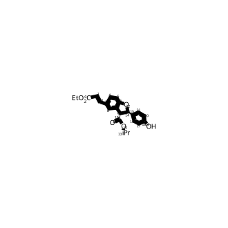 CCOC(=O)/C=C/c1ccc2c(c1)[C@@H](C(=O)OC(C)C)[C@H](c1ccc(O)cc1)O2